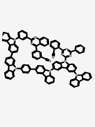 N#Cc1cccc(-c2nc(-c3cccc(-n4c5ccccc5c5cc(-c6ccc7c8ccccc8n(-c8ccc(-c9ccc%10c(c9)c9ccccc9n%10-c9ccc%10c(c9)c9cc(-n%11c%12ccccc%12c%12ccccc%12%11)ccc9n%10-c9nc(-c%10ccccc%10)nc(-c%10ccccc%10C#N)n9)cc8)c7c6)ccc54)c3)nc3ccccc23)c1